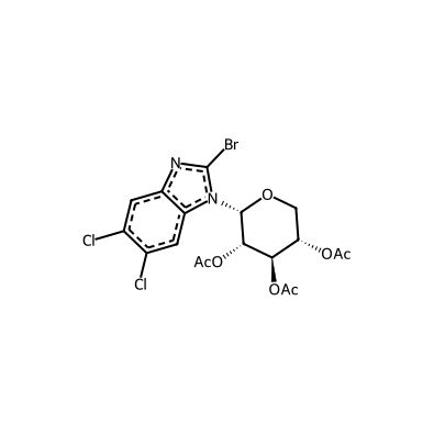 CC(=O)O[C@H]1[C@H](OC(C)=O)[C@H](n2c(Br)nc3cc(Cl)c(Cl)cc32)OC[C@@H]1OC(C)=O